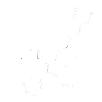 CN(C)c1nc(NC(=O)NCc2ccccc2)c(C(=O)OC(C)(C)C)n1-c1ccccc1